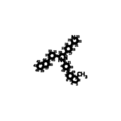 CC1CC=Cc2ccc(-c3ccc(-c4nc(-c5ccc(-c6cccnc6)cc5)cc(-c5cccc(-c6ccc7ccccc7c6)c5)n4)cc3)cc21